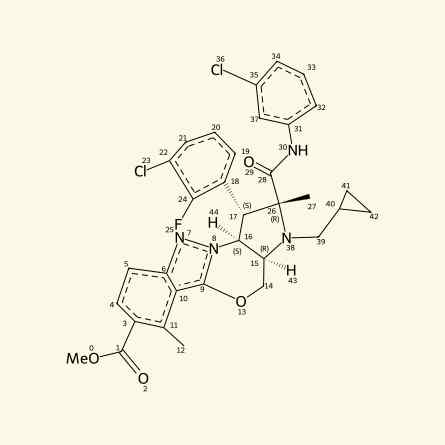 COC(=O)c1ccc2nn3c(c2c1C)OC[C@H]1[C@@H]3[C@H](c2cccc(Cl)c2F)[C@](C)(C(=O)Nc2cccc(Cl)c2)N1CC1CC1